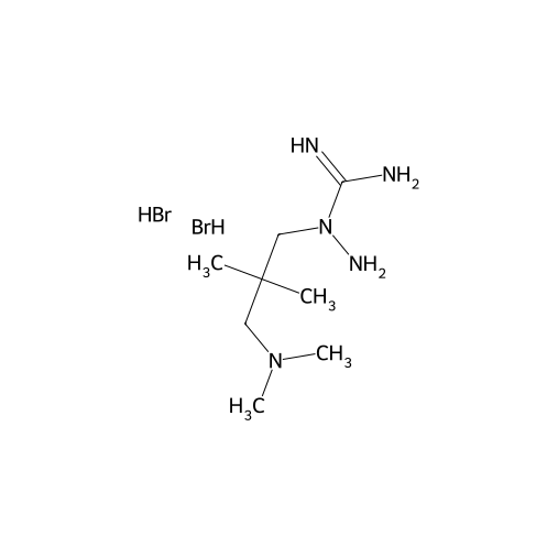 Br.Br.CN(C)CC(C)(C)CN(N)C(=N)N